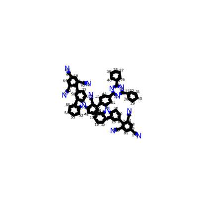 N#Cc1cc(C#N)c(-c2ccc3c(c2)c2ccccc2n3-c2cc(-c3nc(-c4ccccc4)nc(-c4ccccc4)n3)ccc2-c2cccc(-n3c4ccccc4c4cc(-c5c(C#N)cc(C#N)cc5C#N)ccc43)c2C#N)c(C#N)c1